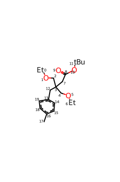 CCOCC(COCC)(CC(=O)OC(C)(C)C)Cc1ccc(C)cc1